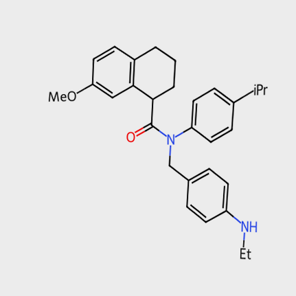 CCNc1ccc(CN(C(=O)C2CCCc3ccc(OC)cc32)c2ccc(C(C)C)cc2)cc1